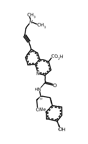 COC[C@H](Cc1ccc(O)cc1)NC(=O)c1cc(C(=O)O)c2cc(C#CCN(C)C)ccc2n1